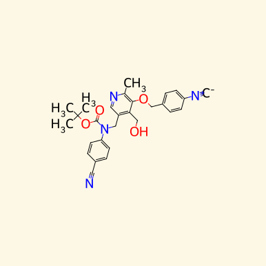 [C-]#[N+]c1ccc(COc2c(C)ncc(CN(C(=O)OC(C)(C)C)c3ccc(C#N)cc3)c2CO)cc1